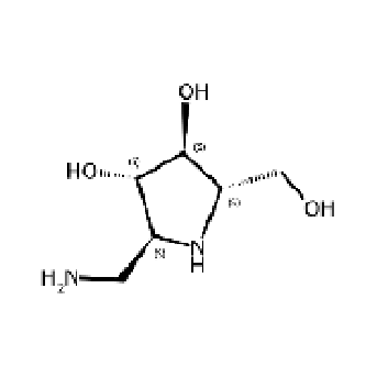 NC[C@@H]1N[C@@H](CO)[C@H](O)[C@H]1O